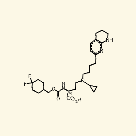 O=C(N[C@@H](CCN(CCCCc1ccc2c(n1)NCCC2)C1CC1)C(=O)O)OCC1CCC(F)(F)CC1